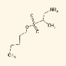 CCCCCOS(=O)(=O)C(C)CN